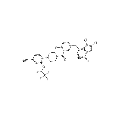 N#Cc1ccc(N2CCN(C(=O)c3cc(Cc4c[nH]c(=O)c5cc(Cl)c(Cl)n45)ccc3F)CC2)[n+](OC(=O)C(F)(F)F)c1